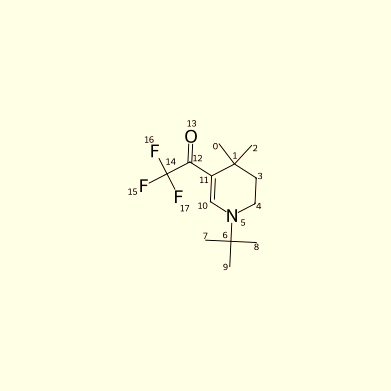 CC1(C)CCN(C(C)(C)C)C=C1C(=O)C(F)(F)F